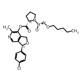 CCCCCON=[N+]([O-])N1CCC[C@H]1C(=O)Oc1c(C)ncc2c1CO[C@H]2c1ccc(Cl)cc1